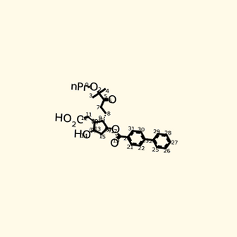 CCCOC(C)(C)C(=O)CC[C@H]1[C@H](CC(=O)O)[C@H](O)C[C@@H]1OC(=O)c1ccc(-c2ccccc2)cc1